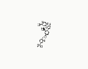 COC(=O)c1ccc(COc2ccc(C(C)C(O)(c3ccnc(Cl)c3)C(F)(F)F)c(Cl)c2)nc1